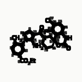 CCOC(=O)c1ccc(C)c(-n2ncc(C(=O)N3CCC[C@@]4(C3)OC(=O)Nc3ccc(Cl)c(F)c34)c2N)c1